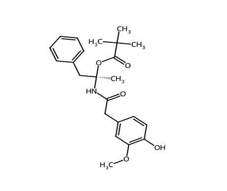 COc1cc(CC(=O)N[C@@](C)(Cc2ccccc2)OC(=O)C(C)(C)C)ccc1O